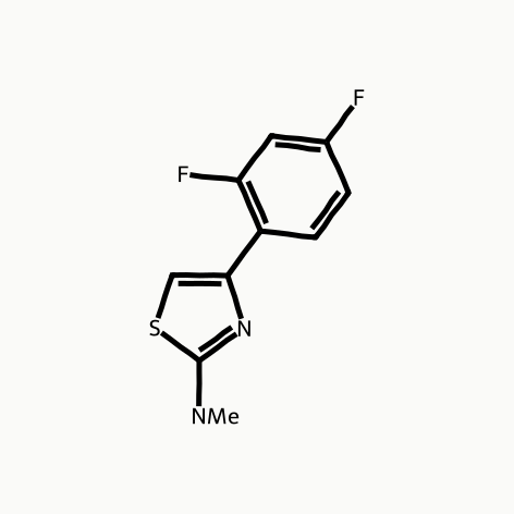 CNc1nc(-c2ccc(F)cc2F)cs1